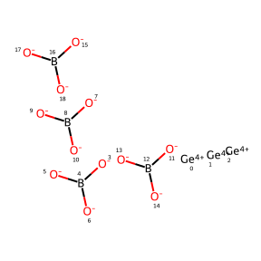 [Ge+4].[Ge+4].[Ge+4].[O-]B([O-])[O-].[O-]B([O-])[O-].[O-]B([O-])[O-].[O-]B([O-])[O-]